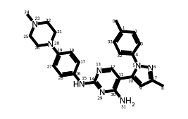 Cc1ccc(-n2nc(C)cc2-c2cnc(Nc3ccc(N4CCN(C)CC4)cc3)nc2N)cc1